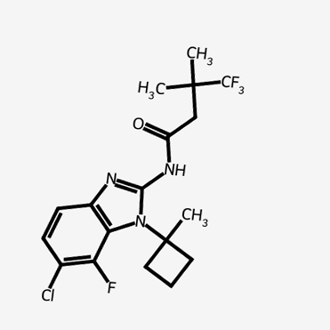 CC1(n2c(NC(=O)CC(C)(C)C(F)(F)F)nc3ccc(Cl)c(F)c32)CCC1